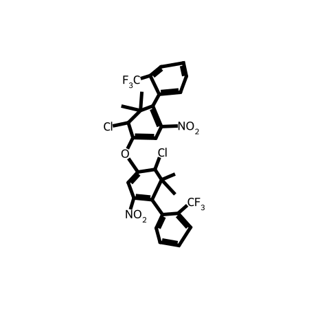 CC1(C)C(c2ccccc2C(F)(F)F)=C([N+](=O)[O-])C=C(OC2=CC([N+](=O)[O-])=C(c3ccccc3C(F)(F)F)C(C)(C)C2Cl)C1Cl